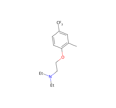 CCN(CC)CCOc1ccc(C(F)(F)F)cc1C